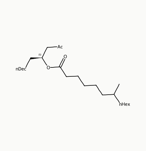 CCCCCCCCCCC[C@@H](CC(C)=O)OC(=O)CCCCCC(C)CCCCCC